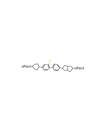 CCCCCC1CCC(c2ccc(-c3ccc(C4CC5CC(CCCCC)CC5C4)cc3)c(F)c2)CC1